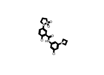 O=C(Nc1cc(Cl)cc(N2CCC2)c1)c1cc(N2CCCS2(=O)=O)ccc1Cl